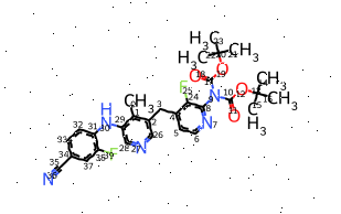 Cc1c(Cc2ccnc(N(C(=O)OC(C)(C)C)C(=O)OC(C)(C)C)c2F)cncc1Nc1ccc(C#N)cc1F